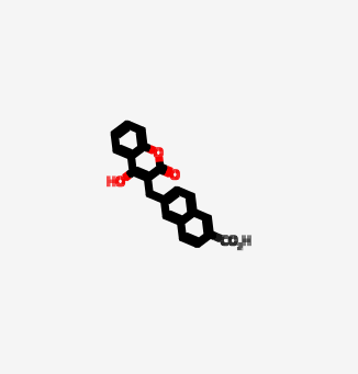 O=C(O)c1ccc2cc(Cc3c(O)c4ccccc4oc3=O)ccc2c1